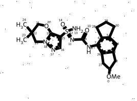 COC1Cc2cc3c(c(NC(=O)N=S(N)(=O)c4cnn5c4OCC(C)(C)C5)c2C1)CCC3